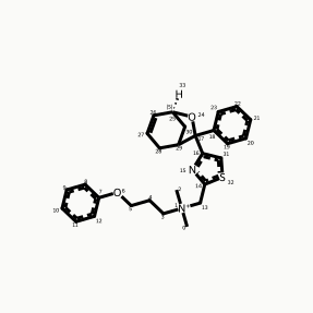 C[N+](C)(CCCOc1ccccc1)Cc1nc(C2(c3ccccc3)O[C@@H]3C=CCC2C3)cs1